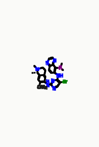 COc1cc2c(cc1Nc1ncc(Br)c(Nc3ccc4nccnc4c3P(C)C)n1)CCN(C)[C@H]2C